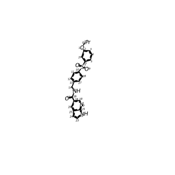 CC(C)Oc1cccc(S(=O)(=O)c2ccc(CNC(=O)c3cnc4[nH]ccc4c3)cc2)c1